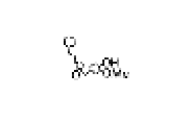 COc1cc(CC(=O)OCCCC2=CCCC=C2)ccc1O